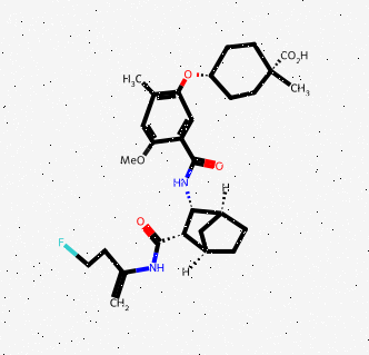 C=C(CCF)NC(=O)[C@H]1[C@@H]2CC[C@@H](C2)[C@H]1NC(=O)c1cc(O[C@H]2CC[C@@](C)(C(=O)O)CC2)c(C)cc1OC